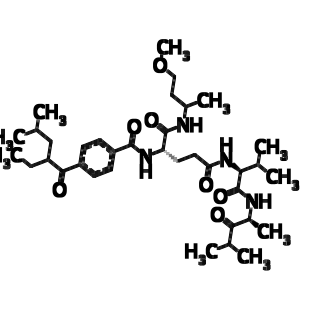 CCC(CC(C)C)C(=O)c1ccc(C(=O)N[C@@H](CCC(=O)N[C@H](C(=O)N[C@@H](C)C(=O)C(C)C)C(C)C)C(=O)NC(C)CCOC)cc1